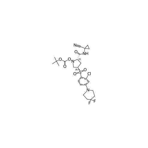 CC(C)(C)OC(=O)ON1C[C@H](S(=O)(=O)c2ccc(N3CCC(F)(F)CC3)cc2Cl)C[C@H]1C(=O)NC1(C#N)CC1